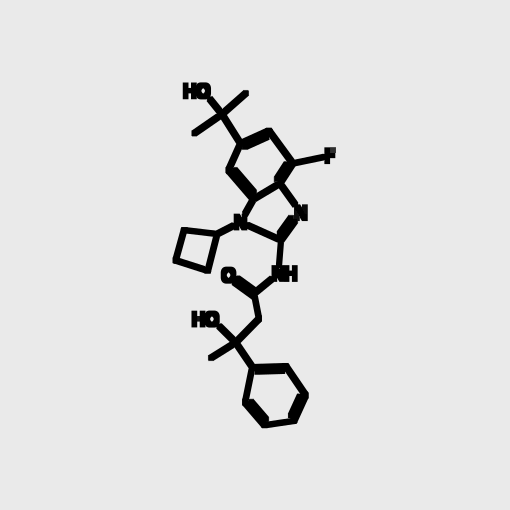 CC(C)(O)c1cc(F)c2nc(NC(=O)CC(C)(O)c3ccccc3)n(C3CCC3)c2c1